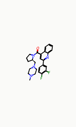 CN1CCN(C[C@H]2CCCN2C(=O)c2cc(-c3ccc(F)c(F)c3)nc3ccccc23)CC1